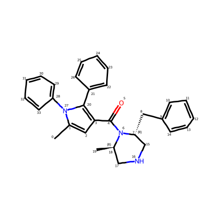 Cc1cc(C(=O)N2[C@H](Cc3ccccc3)CNC[C@H]2C)c(-c2ccccc2)n1-c1ccccc1